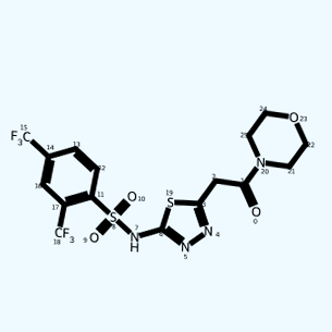 O=C(Cc1nnc(NS(=O)(=O)c2ccc(C(F)(F)F)cc2C(F)(F)F)s1)N1CCOCC1